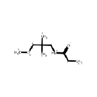 CCC(=O)NCC(C)(C)COC